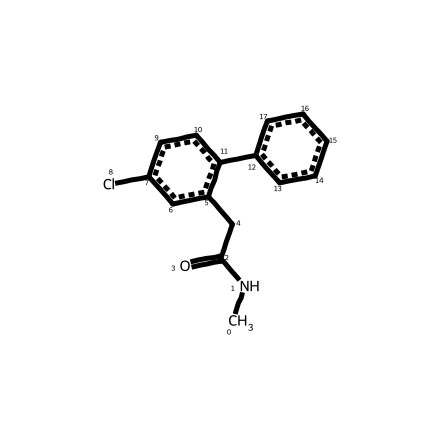 CNC(=O)Cc1cc(Cl)ccc1-c1ccccc1